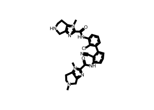 CN1CCc2c(nc(C(=O)Nc3cccc(-c4cccc(NC(=O)c5nc6c(n5C)CCNC6)c4Cl)c3C#N)n2C)C1